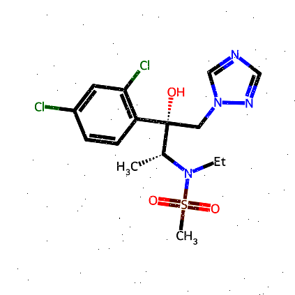 CCN([C@H](C)[C@](O)(Cn1cncn1)c1ccc(Cl)cc1Cl)S(C)(=O)=O